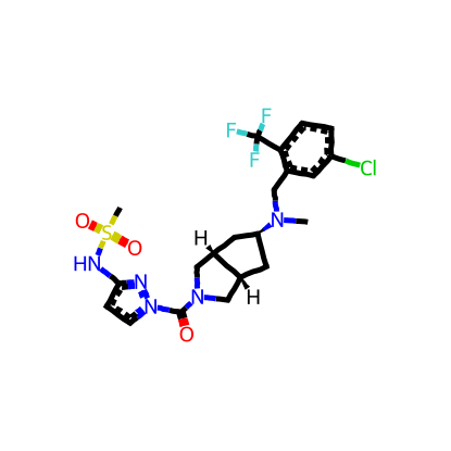 CN(Cc1cc(Cl)ccc1C(F)(F)F)[C@H]1C[C@@H]2CN(C(=O)n3ccc(NS(C)(=O)=O)n3)C[C@@H]2C1